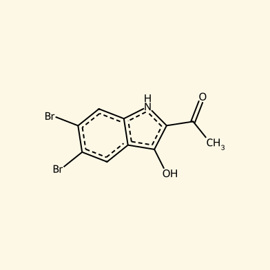 CC(=O)c1[nH]c2cc(Br)c(Br)cc2c1O